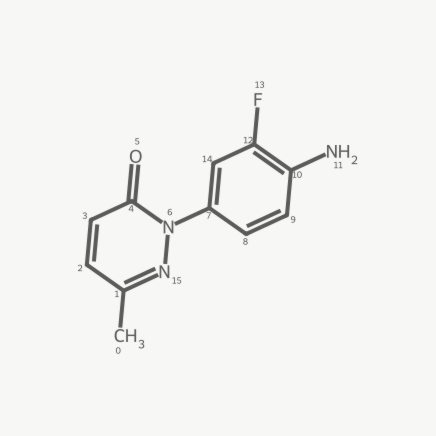 Cc1ccc(=O)n(-c2ccc(N)c(F)c2)n1